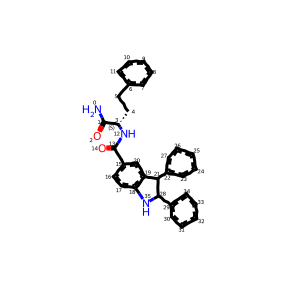 NC(=O)[C@H](CCc1ccccc1)NC(=O)c1ccc2c(c1)C(c1ccccc1)C(c1ccccc1)N2